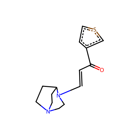 O=C(C=CN1CCN2CCC1CC2)c1ccsc1